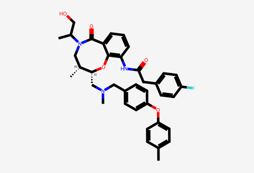 Cc1ccc(Oc2ccc(CN(C)C[C@H]3Oc4c(NC(=O)Cc5ccc(F)cc5)cccc4C(=O)N(C(C)CO)C[C@H]3C)cc2)cc1